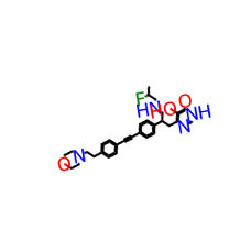 CC(F)CNCC(Cc1nc[nH]c(=O)c1O)c1ccc(C#Cc2ccc(CCN3CCOCC3)cc2)cc1